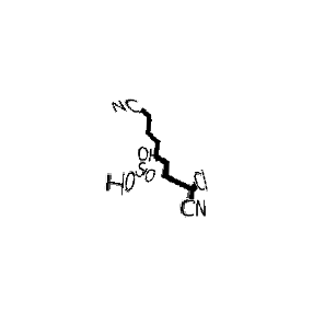 N#CCCCCCCC(Cl)C#N.O=S(O)O